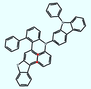 c1ccc(-c2cccc(N(c3ccccc3)c3ccc4c5ccccc5n(-c5ccccc5)c4c3)c2-c2ccc3c(c2)sc2ccccc23)cc1